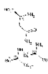 CC[C@H](C)[C@H](N)C(=O)O.CC[C@H](C)[C@H](N)C(=O)O.NC(=O)C[C@H](N)C(=O)O